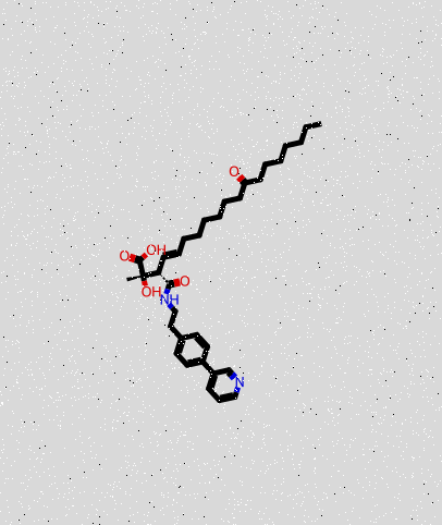 CCCCCCCC(=O)CCCCCC/C=C/[C@H](C(=O)NCCc1ccc(-c2cccnc2)cc1)[C@](C)(O)C(=O)O